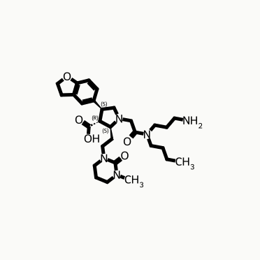 CCCCN(CCCN)C(=O)CN1C[C@H](c2ccc3c(c2)CCO3)[C@@H](C(=O)O)[C@@H]1CCN1CCCN(C)C1=O